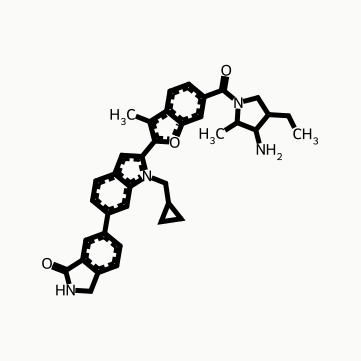 CCC1CN(C(=O)c2ccc3c(C)c(-c4cc5ccc(-c6ccc7c(c6)C(=O)NC7)cc5n4CC4CC4)oc3c2)C(C)C1N